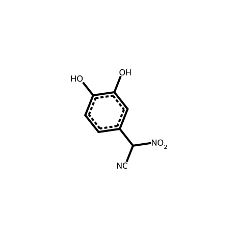 N#CC(c1ccc(O)c(O)c1)[N+](=O)[O-]